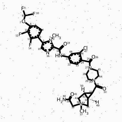 Cn1c(-c2ccc(OC(F)F)c(F)c2F)cnc1C(=O)Nc1ccc(C(=O)N2CCN(C(=O)C3[C@H]4C[N+](C)(CC(N)=O)C[C@@H]34)CC2)c(Cl)c1